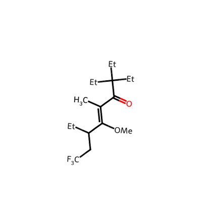 CCC(CC(F)(F)F)/C(OC)=C(\C)C(=O)C(CC)(CC)CC